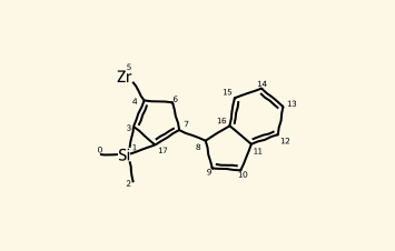 C[Si]1(C)C2=[C]([Zr])CC(C3C=Cc4ccccc43)=C21